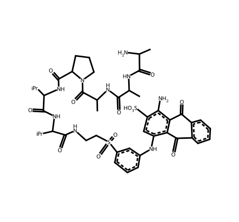 CC(N)C(=O)NC(C)C(=O)NC(C)C(=O)N1CCCC1C(=O)NC(C(=O)NC(C(=O)NCCS(=O)(=O)c1cccc(Nc2cc(S(=O)(=O)O)c(N)c3c2C(=O)c2ccccc2C3=O)c1)C(C)C)C(C)C